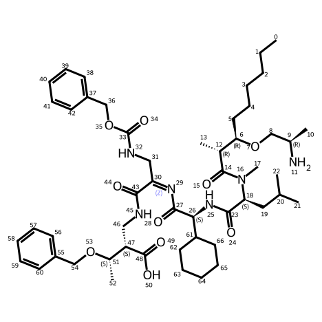 CCCCCC[C@@H](OC[C@@H](C)N)[C@@H](C)C(=O)N(C)[C@@H](CC(C)C)C(=O)N[C@H](C(=O)/N=C(/CNC(=O)OCc1ccccc1)C(=O)NC[C@H](C(=O)O)[C@H](C)OCc1ccccc1)C1CCCCC1